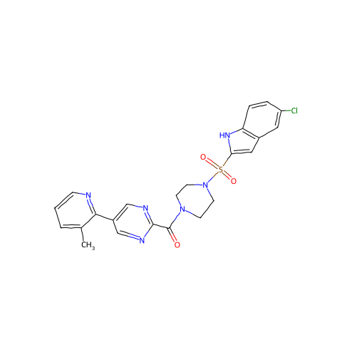 Cc1cccnc1-c1cnc(C(=O)N2CCN(S(=O)(=O)c3cc4cc(Cl)ccc4[nH]3)CC2)nc1